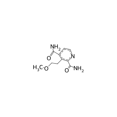 COCCc1c(C(N)=O)ccnc1C(N)=O